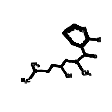 CN(C)CCC(O)CN(C)C(=O)c1cccnc1Cl